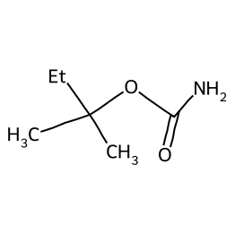 CCC(C)(C)OC(N)=O